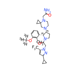 [2H]C([2H])([2H])Oc1cccc([C@@H]2[C@H](N3CCN(CC(N)=O)C4(CC4)C3)CCN2C(=O)Cn2nc(C3CC3)cc2C(F)(F)F)c1C